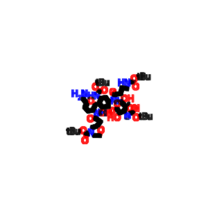 CN(C(=O)OC(C)(C)C)[C@@H]1[C@@H](O)[C@@H](O[C@H]2[C@H](NC(=O)[C@@H](O)CCNC(=O)OC(C)(C)C)C[C@H](NC(=O)OC(C)(C)C)C([C@H]3OC(CN)=CC[C@H]3NC(=O)CC3CN(C(=O)OC(C)(C)C)CCO3)[C@@H]2O)OC[C@]1(C)O